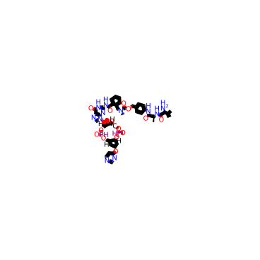 C=C(C)[C@H](N)C(=O)N[C@@H](C)C(=O)Nc1ccc(COC(=O)N(C)Cc2ccccc2C(=O)Nc2nc3c(ncn3[C@@H]3O[C@@H]4CO[PH](=O)O[C@H]5C[C@H](Oc6ccncn6)C[C@@H]5CO[PH](=O)O[C@@H]3[C@@H]4O)c(=O)[nH]2)cc1